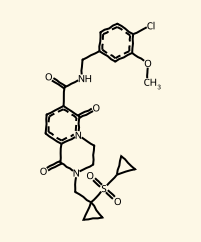 COc1cc(CNC(=O)c2ccc3n(c2=O)CCN(CC2(S(=O)(=O)C4CC4)CC2)C3=O)ccc1Cl